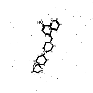 Oc1ccc(CN2CCN(C3CCC4(CC3)OCCO4)CC2)c2cccnc12